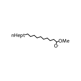 CCCCCCCCCCCCCCCCC([O])OC